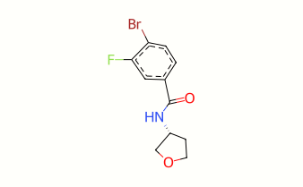 O=C(N[C@@H]1CCOC1)c1ccc(Br)c(F)c1